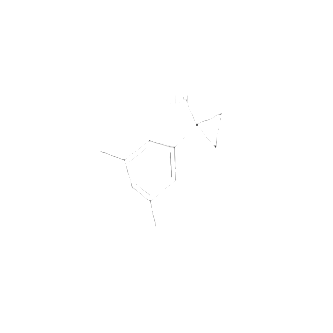 Cc1cc(C)cc(C2(N)CC2)c1